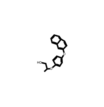 CC(CO)Oc1ccc(Oc2ccc3ccccc3c2)cc1